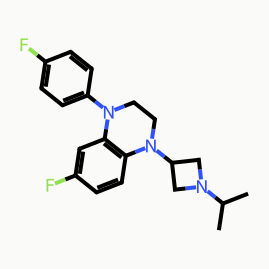 CC(C)N1CC(N2CCN(c3ccc(F)cc3)c3cc(F)ccc32)C1